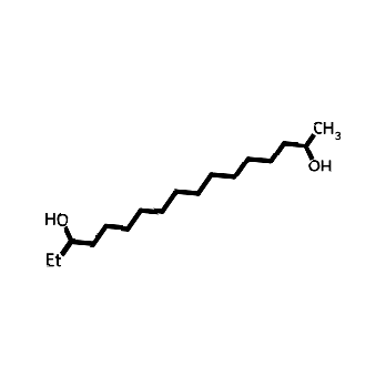 CCC(O)CCCCCCCCCCCCC(C)O